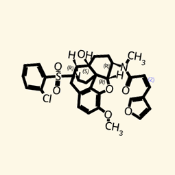 COc1ccc2c3c1O[C@H]1[C@H](N(C)C(=O)/C=C\c4ccoc4)CC[C@@]4(O)[C@@H](C2)N(S(=O)(=O)c2ccccc2Cl)CCC314